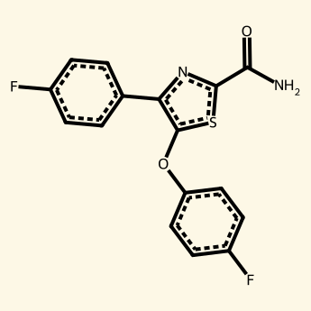 NC(=O)c1nc(-c2ccc(F)cc2)c(Oc2ccc(F)cc2)s1